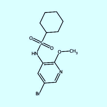 COc1ncc(Br)cc1NS(=O)(=O)C1CCCCC1